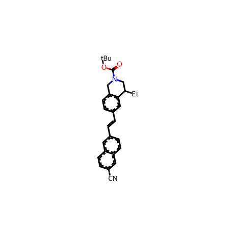 CCC1CN(C(=O)OC(C)(C)C)Cc2ccc(C=Cc3ccc4cc(C#N)ccc4c3)cc21